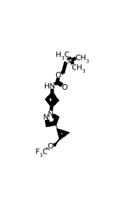 C[Si](C)(C)CCOC(=O)NC12CC(n3cc([C@@H]4C[C@H]4COC(F)(F)F)cn3)(C1)C2